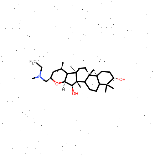 C[C@@H]1C[C@H](CN(C)CC(F)(F)F)O[C@H]2C1[C@@]1(C)CC[C@@]34C[C@@]35CC[C@H](O)C(C)(C)C5CCC4[C@]1(C)[C@H]2O